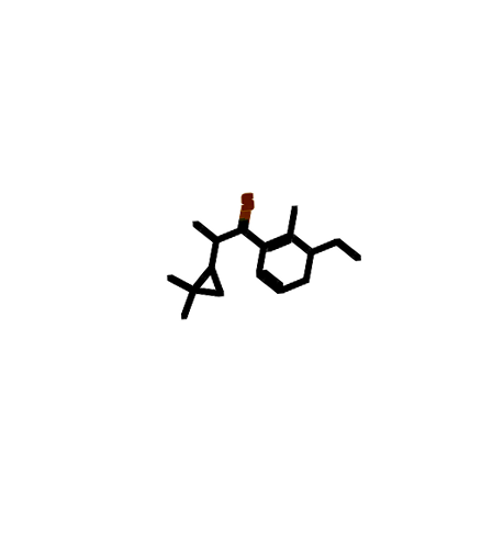 CCC1CC=CC(C(=S)C(C)C2CC2(C)C)=C1C